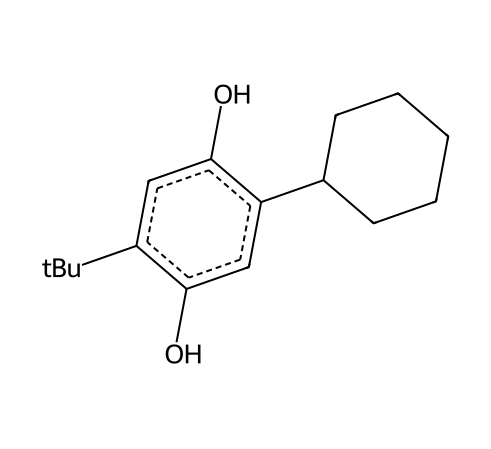 CC(C)(C)c1cc(O)c(C2CCCCC2)cc1O